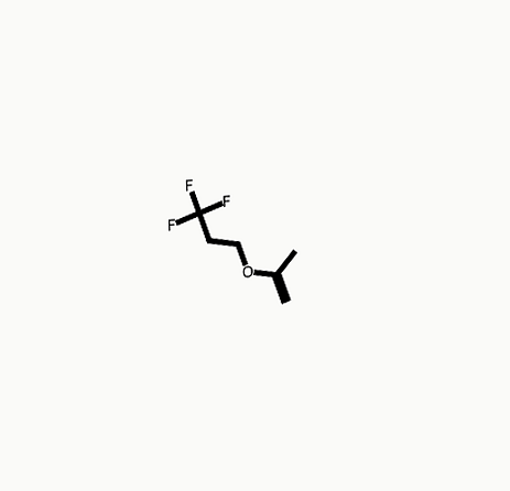 C=C(C)OCCC(F)(F)F